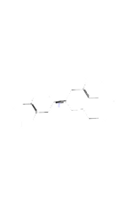 CC=C(C)C/C(=[C]/CC(C)=C(C)C)CCCC